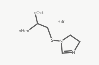 Br.CCCCCCCCC(CCCCCC)CSN1C=NCC1